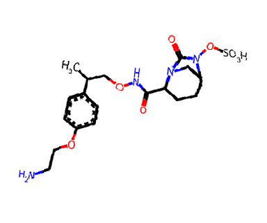 CC(CONC(=O)C1CCC2CN1C(=O)N2OS(=O)(=O)O)c1ccc(OCCN)cc1